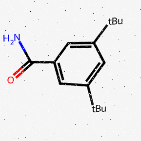 CC(C)(C)c1cc(C(N)=O)cc(C(C)(C)C)c1